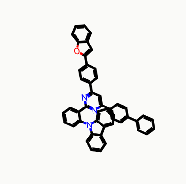 c1ccc(-c2ccc(-c3cc(-c4ccc(-c5cc6ccccc6o5)cc4)nc(-c4ccccc4-n4c5ccccc5c5ccccc54)n3)cc2)cc1